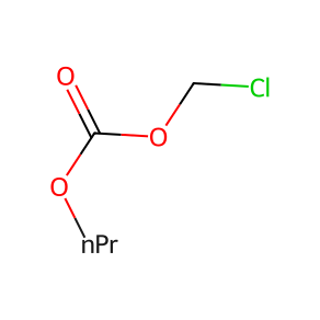 [CH2]CCOC(=O)OCCl